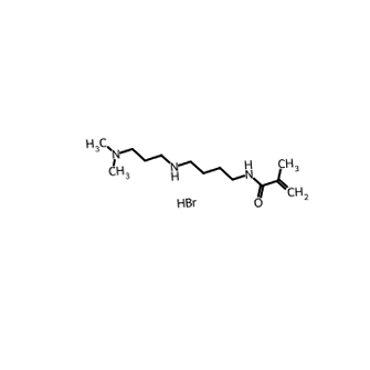 Br.C=C(C)C(=O)NCCCCNCCCN(C)C